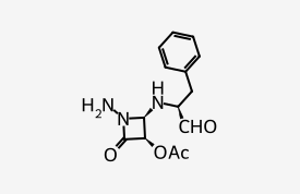 CC(=O)O[C@H]1C(=O)N(N)[C@H]1N[C@H](C=O)Cc1ccccc1